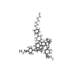 CCCCCCCc1ccc(C2CCC(c3ccc(Oc4ccc(N)cc4)c(C(F)(F)F)c3)(c3ccc(Oc4ccc(N)cc4)c(C(F)(F)F)c3)CC2)cc1